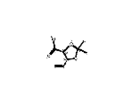 C=C[C@@H]1OC(C)(C)O[C@@H]1C(=O)CC